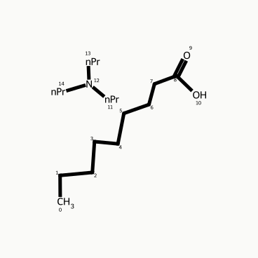 CCCCCCCCC(=O)O.CCCN(CCC)CCC